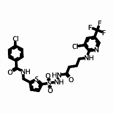 O=C(CCCNc1ncc(C(F)(F)F)cc1Cl)NNS(=O)(=O)c1ccc(CNC(=O)c2ccc(Cl)cc2)s1